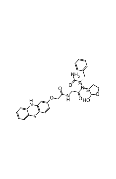 NC(=O)[C@H](Cc1ccccc1)N(C(=O)CNC(=O)COc1ccc2c(c1)Nc1ccccc1S2)[C@H]1CCOC1O